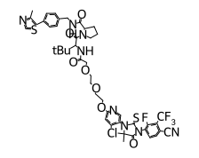 Cc1ncsc1-c1ccc(CNC(=O)C2CCCN2C(=O)C(NC(=O)COCCOCCOc2cc(Cl)c(N3C(=S)N(c4ccc(C#N)c(C(F)(F)F)c4F)C(=O)C3(C)C)cn2)C(C)(C)C)cc1